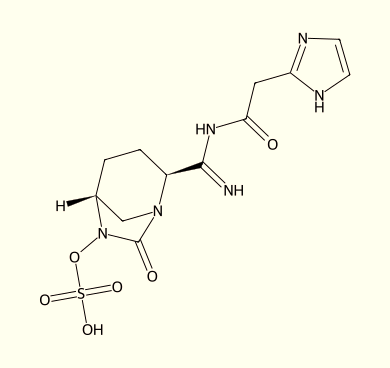 N=C(NC(=O)Cc1ncc[nH]1)[C@@H]1CC[C@@H]2CN1C(=O)N2OS(=O)(=O)O